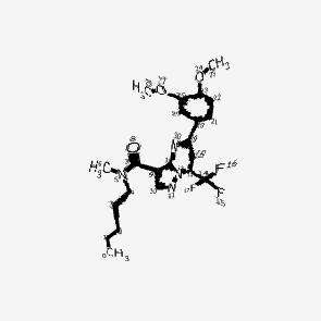 CCCCCN(C)C(=O)c1cnn2c(C(F)(F)F)cc(-c3ccc(OC)c(OC)c3)nc12